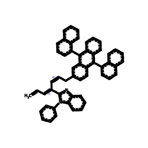 C=C/C=C(\C=C/Cc1ccc2c(-c3cccc4ccccc34)c3ccccc3c(-c3cccc4ccccc34)c2c1)c1nc2ccccc2n1-c1ccccc1